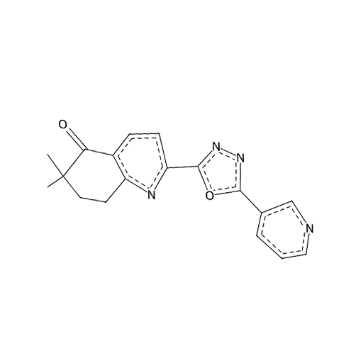 CC1(C)CCc2nc(-c3nnc(-c4cccnc4)o3)ccc2C1=O